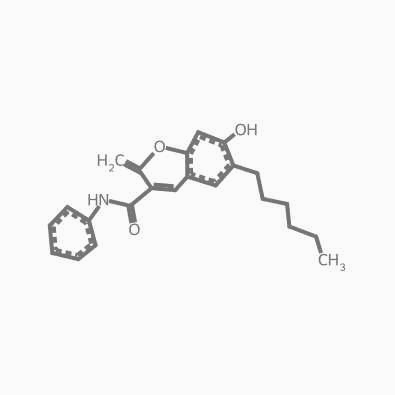 C=C1Oc2cc(O)c(CCCCCC)cc2C=C1C(=O)Nc1ccccc1